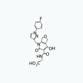 O=C(O)CNC(=O)c1c(O)c2c(n(Cc3ccn(-c4ccc(F)cc4)n3)c1=O)COC2